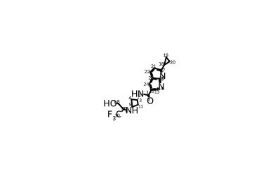 O=C(N[C@H]1C[C@@H](N[C@H](CO)C(F)(F)F)C1)c1cnc2nc(C3CC3)ccc2c1